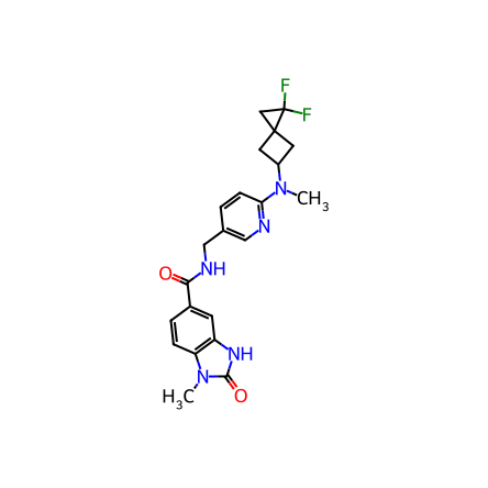 CN(c1ccc(CNC(=O)c2ccc3c(c2)[nH]c(=O)n3C)cn1)C1CC2(C1)CC2(F)F